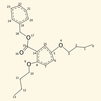 CCCCOc1ccc(OCCCC)c(C(=O)OCc2ccccc2)c1